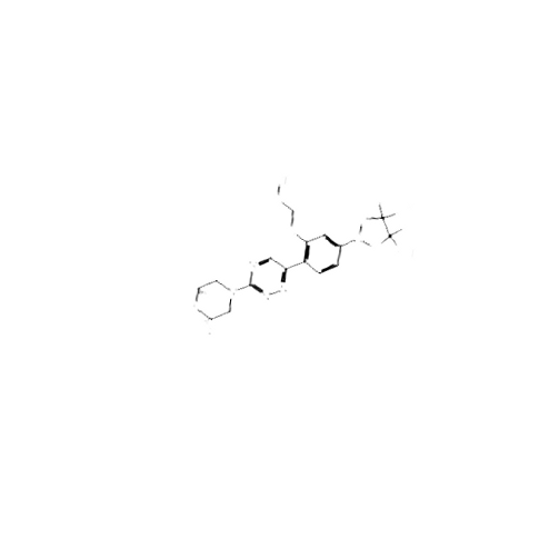 COCOc1cc(B2OC(C)(C)C(C)(C)O2)ccc1-c1cnc(N2C[C@@H](C)N[C@@H](C)C2)nn1